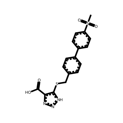 CS(=O)(=O)c1ccc(-c2ccc(CSc3[nH]nnc3C(=O)O)cc2)cc1